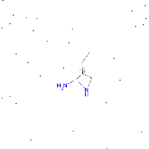 C/C=C1\CNC1N